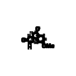 COc1ccc2c(c1)C1(CNC(=O)C1)CC2=O